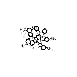 Cc1ccc2sc3c(c2c1)N(c1ccc(C(C)(C)C)cc1C)c1cc(N(c2ccccc2)c2ccccc2)cc2c1B3c1ccc3c(c1N2c1ccc2c(c1)C(C)(C)CCC2(C)C)C(C)(C)CCC3(C)C